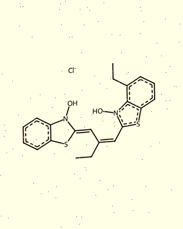 CCC(=Cc1sc2cccc(CC)c2[n+]1O)C=C1Sc2ccccc2N1O.[Cl-]